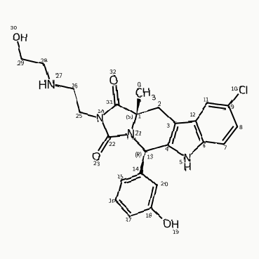 C[C@@]12Cc3c([nH]c4ccc(Cl)cc34)[C@@H](c3cccc(O)c3)N1C(=O)N(CCNCCO)C2=O